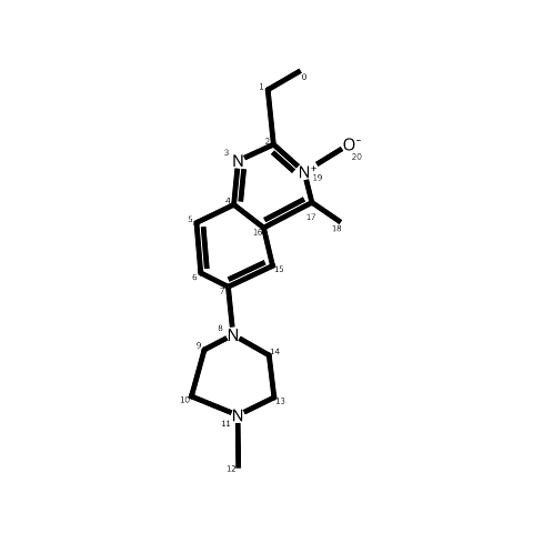 CCc1nc2ccc(N3CCN(C)CC3)cc2c(C)[n+]1[O-]